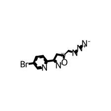 [N-]=[N+]=NC[C@@H]1CC(c2ccc(Br)cn2)=NO1